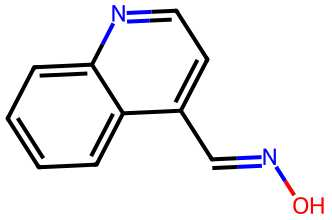 O/N=C/c1ccnc2ccccc12